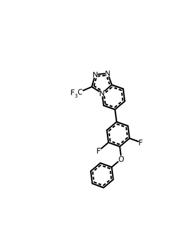 Fc1cc(-c2ccc3nnc(C(F)(F)F)n3c2)cc(F)c1Oc1ccccc1